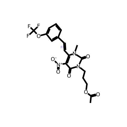 CC(=O)OCCCn1c(=O)c([N+](=O)[O-])c(/C=C/c2cccc(OC(F)(F)F)c2)n(C)c1=O